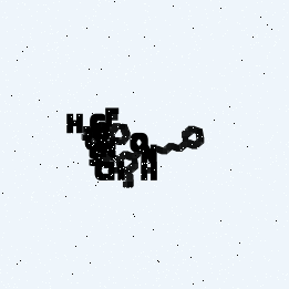 COc1c(F)cccc1-n1c(-c2cccc(C(=O)NCCCCc3ccccc3)c2)c(C)sc1=O